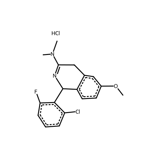 COc1ccc2c(c1)CC(N(C)C)=NC2c1c(F)cccc1Cl.Cl